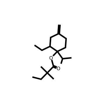 C=C1CCC(OC(=O)C(C)(C)CC)(C(C)C)C(CC)C1